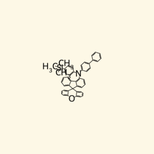 C[Si](C)(C)c1ccc(N(c2ccc(-c3ccccc3)cc2)c2cccc3c2-c2ccccc2C32c3ccccc3Oc3ccccc32)cc1